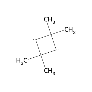 CC1(C)[CH]C(C)(C)[CH]1